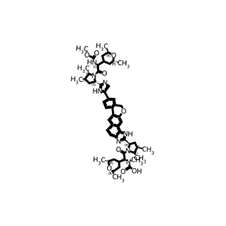 COC(=O)N[C@H](C(=O)N1[C@H](c2ncc(-c3ccc4c(c3)COc3cc5c(ccc6nc([C@H]7C[C@@H](C)[C@@H](C)N7C(=O)[C@H](C7C[C@@H](C)O[C@H](C)C7)N(C)C(=O)O)[nH]c65)cc3-4)[nH]2)C[C@H](C)[C@@H]1C)C1C[C@@H](C)O[C@H](C)C1